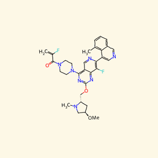 C=C(F)C(=O)N1CCN(c2nc(OC[C@@H]3C[C@@H](OC)CN3C)nc3c(F)c(-c4cncc5cccc(C)c45)ncc23)CC1